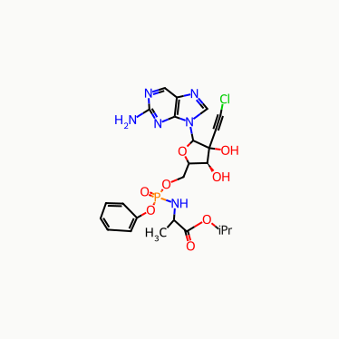 CC(C)OC(=O)C(C)NP(=O)(OCC1OC(n2cnc3cnc(N)nc32)C(O)(C#CCl)[C@H]1O)Oc1ccccc1